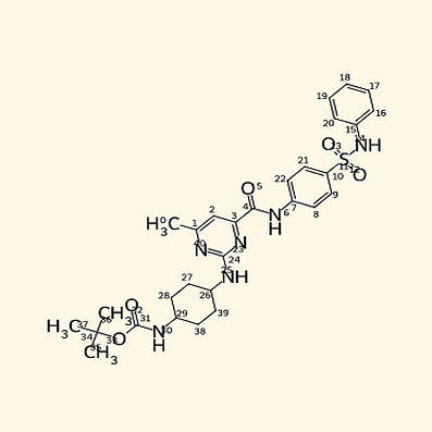 Cc1cc(C(=O)Nc2ccc(S(=O)(=O)Nc3ccccc3)cc2)nc(NC2CCC(NC(=O)OC(C)(C)C)CC2)n1